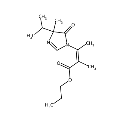 CCCOC(=O)C(C)=C(C)N1C=NC(C)(C(C)C)C1=O